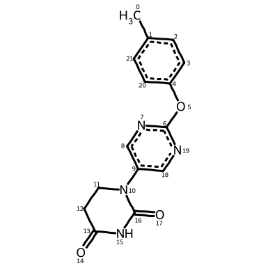 Cc1ccc(Oc2ncc(N3CCC(=O)NC3=O)cn2)cc1